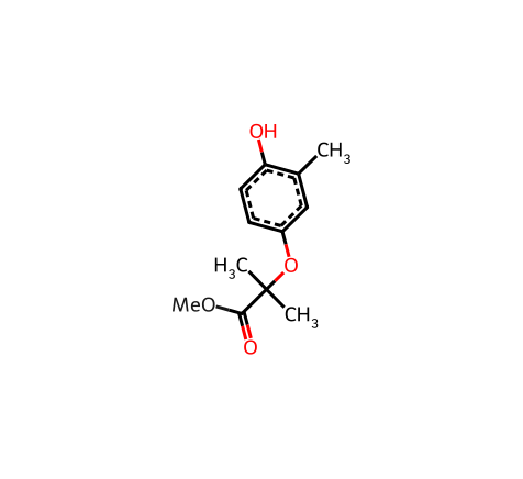 COC(=O)C(C)(C)Oc1ccc(O)c(C)c1